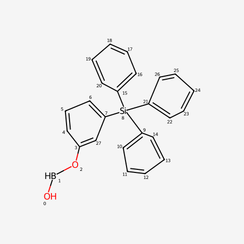 OBOc1cccc([Si](c2ccccc2)(c2ccccc2)c2ccccc2)c1